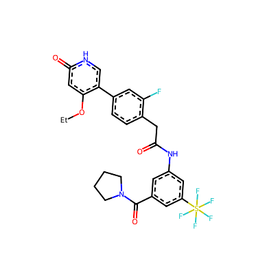 CCOc1cc(=O)[nH]cc1-c1ccc(CC(=O)Nc2cc(C(=O)N3CCCC3)cc(S(F)(F)(F)(F)F)c2)c(F)c1